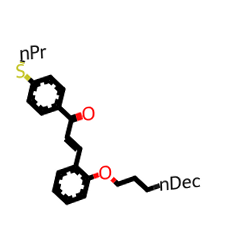 CCCCCCCCCCCCCOc1ccccc1C=CC(=O)c1ccc(SCCC)cc1